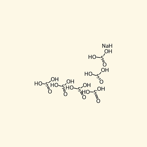 O=S(O)O.O=S(O)O.O=S(O)O.O=S(O)O.O=S(O)O.O=S(O)O.[NaH]